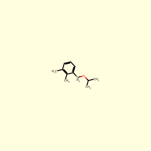 Cc1cccc([SiH2]OC(C)C)c1C